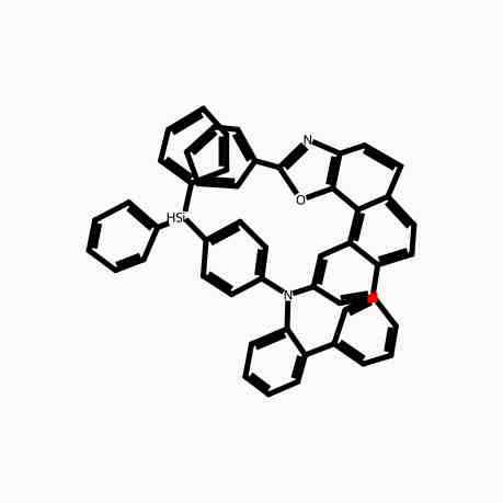 c1ccc(-c2nc3ccc4ccc5ccc(N(c6ccc([SiH](c7ccccc7)c7ccccc7)cc6)c6ccccc6-c6ccccc6)cc5c4c3o2)cc1